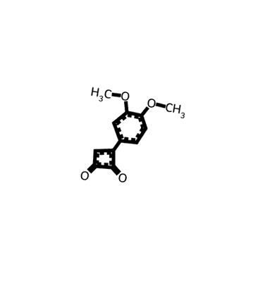 COc1ccc(-c2cc(=O)c2=O)cc1OC